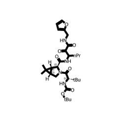 CCCC(NC(=O)[C@@H]1[C@@H]2[C@H](CN1C(=O)[C@@H](NC(=O)OC(C)(C)C)C(C)(C)C)C2(C)C)C(=O)C(=O)NCc1ccco1